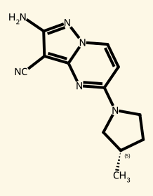 C[C@H]1CCN(c2ccn3nc(N)c(C#N)c3n2)C1